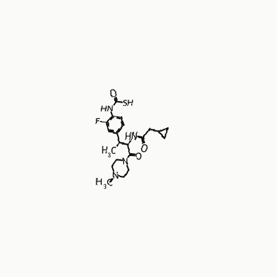 C[C@@H](c1ccc(NC(=O)S)c(F)c1)[C@@H](NC(=O)CC1CC1)C(=O)N1CCN(C)CC1